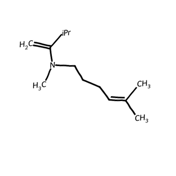 C=C(C(C)C)N(C)CCCC=C(C)C